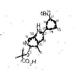 Cc1c(SC(C)(C)C(=O)O)ncc2[nH]c(-c3cccc(C(C)(C)C)c3)cc12